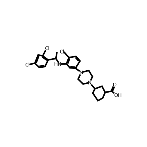 CC(Nc1cc(N2CCN(C3CCCC(C(=O)O)C3)CC2)ccc1Cl)c1ccc(Cl)cc1Cl